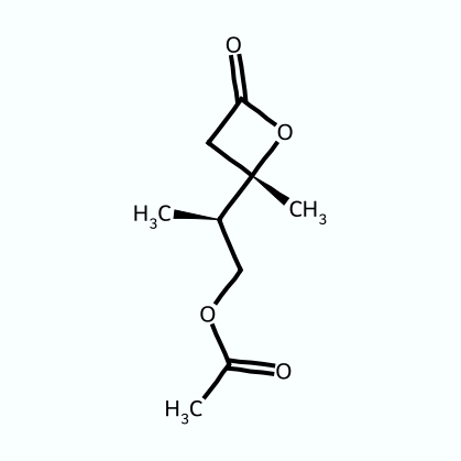 CC(=O)OC[C@@H](C)[C@]1(C)CC(=O)O1